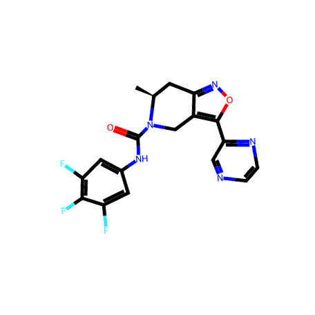 C[C@H]1Cc2noc(-c3cnccn3)c2CN1C(=O)Nc1cc(F)c(F)c(F)c1